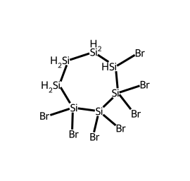 Br[SiH]1[SiH2][SiH2][SiH2][Si](Br)(Br)[Si](Br)(Br)[Si]1(Br)Br